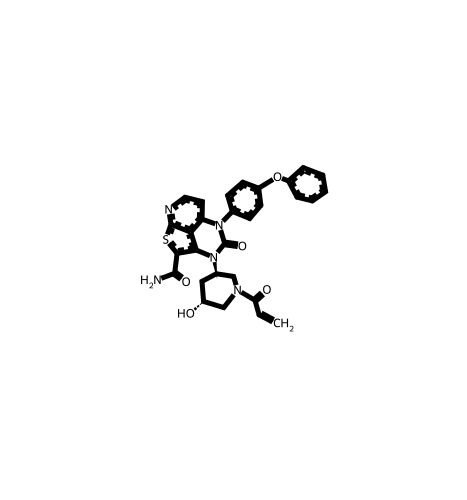 C=CC(=O)N1C[C@H](O)C[C@@H](N2C(=O)N(c3ccc(Oc4ccccc4)cc3)c3ccnc4sc(C(N)=O)c2c34)C1